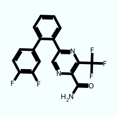 NC(=O)c1ncc(-c2ccccc2-c2ccc(F)c(F)c2)nc1C(F)(F)F